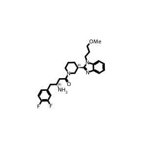 COCCCn1c([C@@H]2CCCN(C(=O)C[C@H](N)Cc3ccc(F)c(F)c3)C2)nc2ccccc21